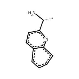 C[C@@H](N)c1ccc2ccccc2n1